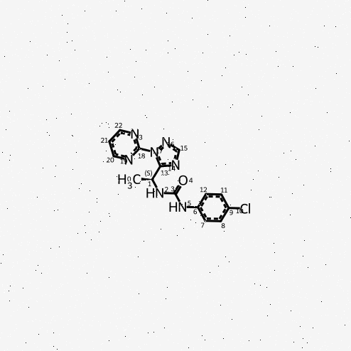 C[C@H](NC(=O)Nc1ccc(Cl)cc1)c1ncnn1-c1ncccn1